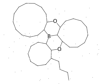 CCCCC1CCCCCCC2B3C4CCCCCCCCCCCC4OC4CCCCCCCCC(OC12)C34